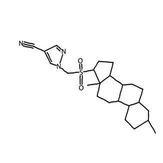 CC1CCC2C(CCC3C2CCC2(C)C3CCC2S(=O)(=O)Cn2cc(C#N)cn2)C1